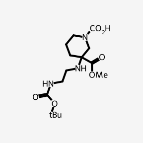 COC(=O)C1(NCCNC(=O)OC(C)(C)C)CCCN(C(=O)O)C1